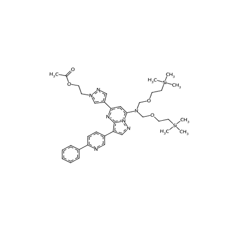 CC(=O)OCCn1cc(-c2cc(N(COCC[Si](C)(C)C)COCC[Si](C)(C)C)n3ncc(-c4ccc(-c5ccccc5)nc4)c3n2)cn1